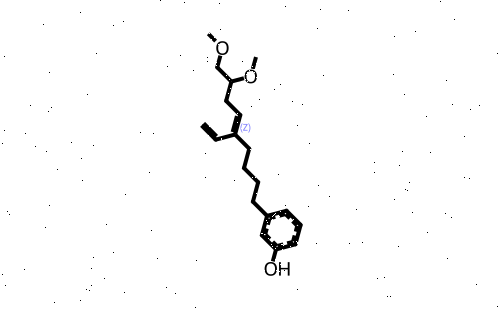 C=C/C(=C\CC(COC)OC)CCCCc1cccc(O)c1